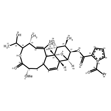 CO[C@H]1CC2C=C[C@H]3[C@H]4O[C@]2(/C(C)=C/[C@@H](C)C(C(C)O)OC1=O)[C@@H]3[C@H](O)[C@@H](C)[C@H]4OC(=O)c1cccn1C(=O)C(C)C